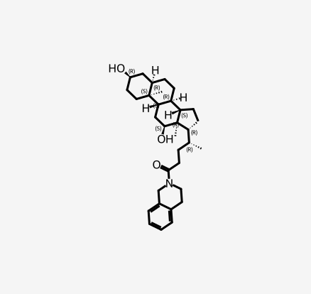 C[C@H](CCC(=O)N1CCc2ccccc2C1)[C@H]1CC[C@H]2[C@@H]3CC[C@@H]4C[C@H](O)CC[C@]4(C)[C@H]3C[C@H](O)[C@]12C